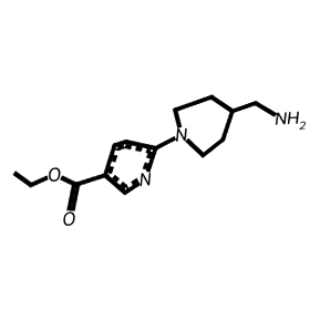 CCOC(=O)c1ccc(N2CCC(CN)CC2)nc1